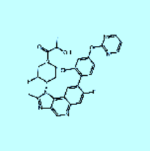 Cc1nc2cnc3cc(F)c(-c4ccc(Oc5ncccn5)cc4Cl)cc3c2n1[C@H]1CCN(C(=O)C(C)O)C[C@@H]1F